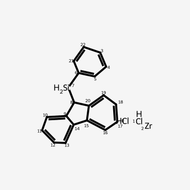 Cl.Cl.[Zr].c1ccc([SiH2]C2c3ccccc3-c3ccccc32)cc1